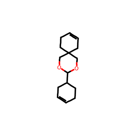 C1=CCC(C2OCC3(CC=CCC3)CO2)CC1